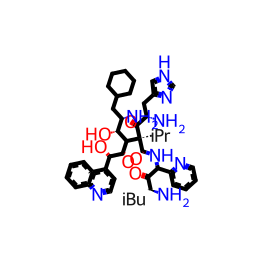 CC[C@H](C)[C@H](N)C(=O)C(NC(=O)[C@@](C(=O)[C@@H](N)Cc1c[nH]cn1)(C(C)C)C(C(=O)C(O)c1ccnc2ccccc12)[C@H](O)[C@@H](N)CC1CCCCC1)c1ccccn1